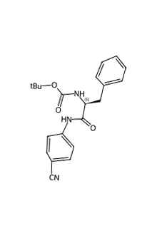 CC(C)(C)OC(=O)N[C@@H](Cc1ccccc1)C(=O)Nc1ccc(C#N)cc1